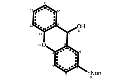 CCCCCCCCCc1ccc2c(c1)C(O)c1ccccc1O2